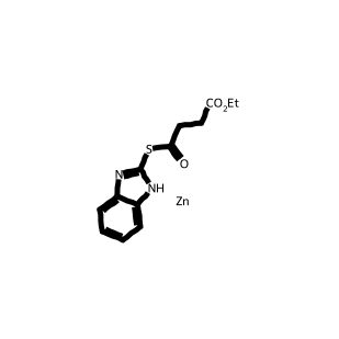 CCOC(=O)CCC(=O)Sc1nc2ccccc2[nH]1.[Zn]